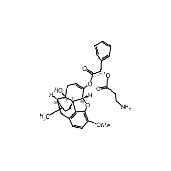 COc1ccc2c3c1O[C@H]1C(OC(=O)[C@@H](OC(=O)CCN)c4ccccc4)=CC[C@@]4(O)[C@@H](C2)C(C)CC[C@]314